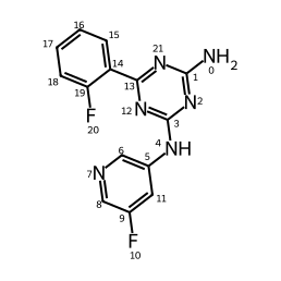 Nc1nc(Nc2cncc(F)c2)nc(-c2ccccc2F)n1